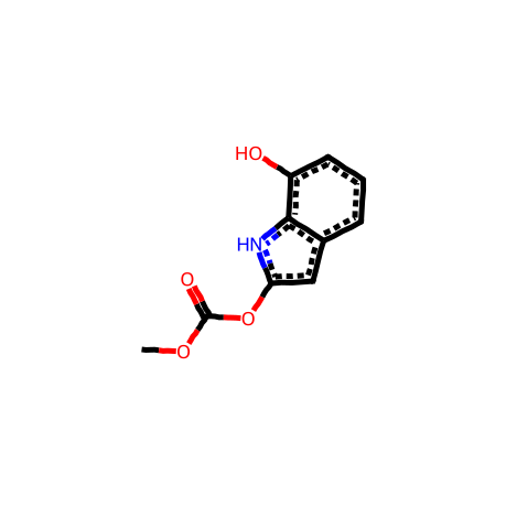 COC(=O)Oc1cc2cccc(O)c2[nH]1